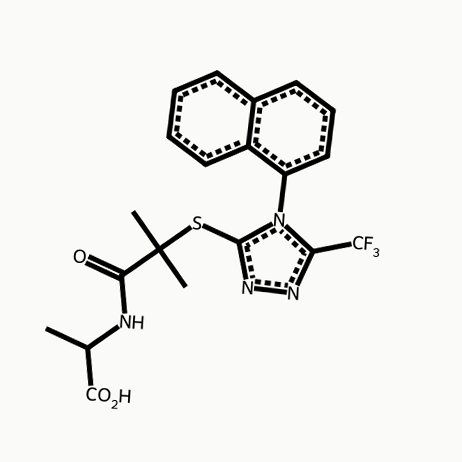 CC(NC(=O)C(C)(C)Sc1nnc(C(F)(F)F)n1-c1cccc2ccccc12)C(=O)O